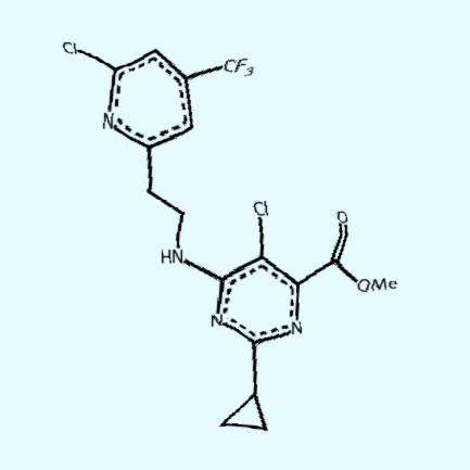 COC(=O)c1nc(C2CC2)nc(NCCc2cc(C(F)(F)F)cc(Cl)n2)c1Cl